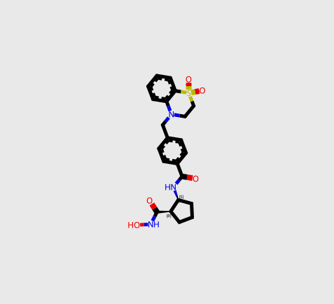 O=C(N[C@H]1CCC[C@H]1C(=O)NO)c1ccc(CN2CCS(=O)(=O)c3ccccc32)cc1